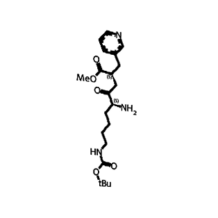 COC(=O)[C@H](CC(=O)[C@@H](N)CCCCNC(=O)OC(C)(C)C)Cc1cccnc1